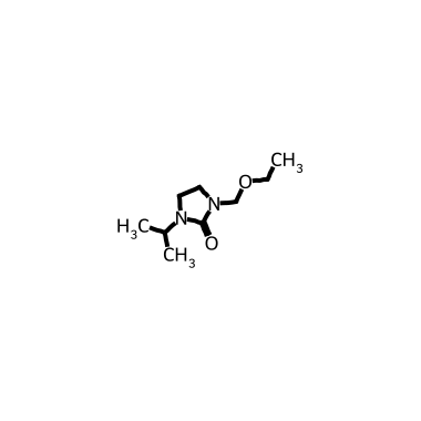 CCOCN1CCN(C(C)C)C1=O